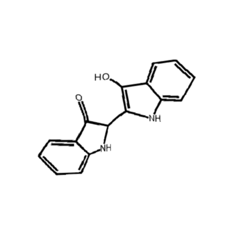 O=C1c2ccccc2NC1c1[nH]c2ccccc2c1O